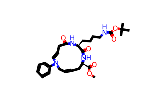 COC(=O)[C@H]1C/C=C\CN(c2ccccc2)/C=C/CC(=O)N[C@@H](CCCCNC(=O)OC(C)(C)C)C(=O)N1